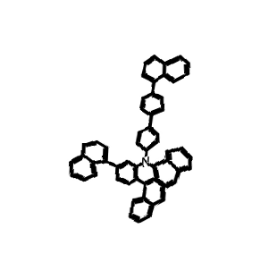 c1ccc2c(-c3ccc(-c4ccc(N(c5cc(-c6cccc7ccccc67)ccc5-c5cccc6ccccc56)c5cccc6ccccc56)cc4)cc3)cccc2c1